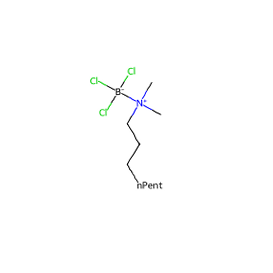 CCCCCCCC[N+](C)(C)[B-](Cl)(Cl)Cl